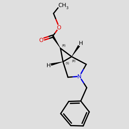 CCOC(=O)[C@H]1[C@@H]2CN(Cc3ccccc3)C[C@@H]21